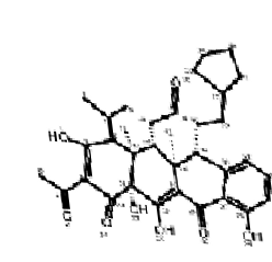 CC(=O)C1=C(O)C(C(C)C)[C@@]2(C)[C@H](CC=O)[C@]3(C)C(=C(O)[C@@]2(O)C1=O)C(=O)c1c(O)cccc1[C@H]3CCC1CCCC1